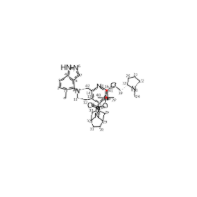 Cc1ccc2[nH]ncc2c1N1CCc2c(nc(OC[C@@H]3CCCN3C)nc2N2CC3CCC(C2)N3C(=O)OC(C)(C)C)C1